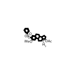 COc1cc2c(cc1OS(=O)(=O)c1ccccc1)CCC1C2CC[C@@]2(C)C1CC[C@@H]2OC(C)=O